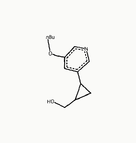 CCCCOc1cncc(C2CC2CO)c1